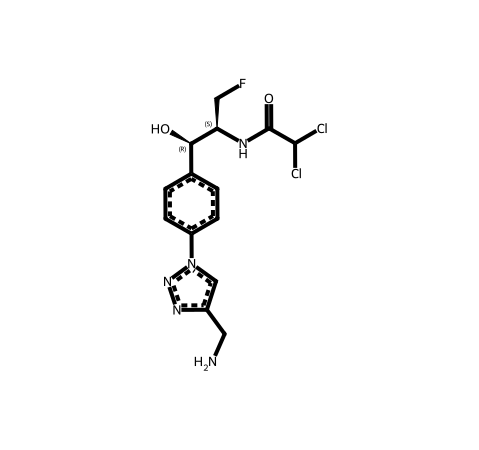 NCc1cn(-c2ccc([C@@H](O)[C@@H](CF)NC(=O)C(Cl)Cl)cc2)nn1